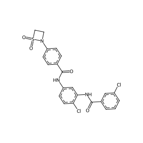 O=C(Nc1ccc(Cl)c(NC(=O)c2cccc(Cl)c2)c1)c1ccc(N2CCS2(=O)=O)cc1